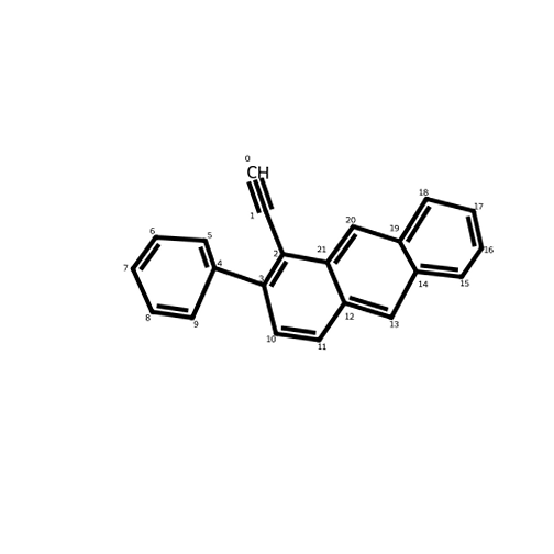 C#Cc1c(-c2ccccc2)ccc2cc3ccccc3cc12